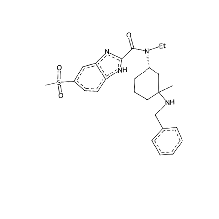 CCN(C(=O)c1nc2cc(S(C)(=O)=O)ccc2[nH]1)[C@H]1CCCC(C)(NCc2ccccc2)C1